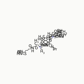 CO[C@@H](/C=C/O[C@@]1(C)Oc2c(C)c(O)c3c(c2C1=O)C1=NC2(CCN(CC(C)C)CC2)NC1=C(NC(=O)/C(C)=C\CC(C)C(=O)CNC(=O)CCCCC1SCC2NC(=O)NC21)C3=O)[C@@H](C)[C@@H](OC(C)=O)[C@H](C)[C@H](O)[C@H](C)[C@@H](O)C(C)C